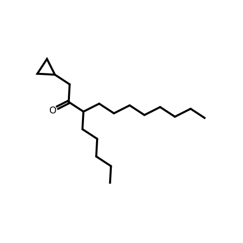 CCCCCCCCC(CCCCC)C(=O)CC1CC1